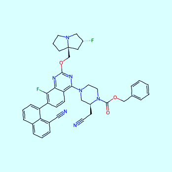 N#CC[C@H]1CN(c2nc(OC[C@@]34CCCN3C[C@H](F)C4)nc3c(F)c(-c4cccc5cccc(C#N)c45)ccc23)CCN1C(=O)OCc1ccccc1